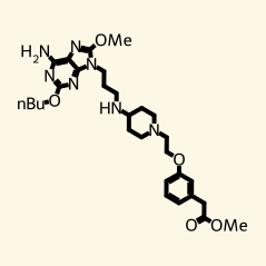 CCCCOc1nc(N)c2nc(OC)n(CCCNC3CCN(CCOc4cccc(CC(=O)OC)c4)CC3)c2n1